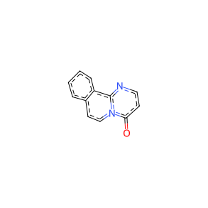 O=c1ccnc2c3ccccc3ccn12